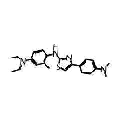 CCN(CC)c1ccc(Nc2nc(-c3ccc(N(C)C)cc3)cs2)c(C)c1